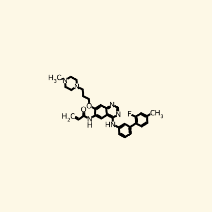 C=CC(=O)Nc1cc2c(Nc3cccc(-c4ccc(C)cc4F)c3)ncnc2cc1OCCCN1CCN(C)CC1